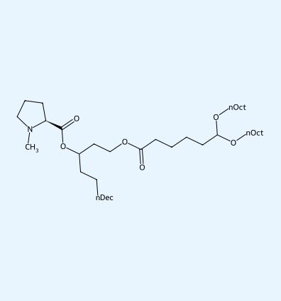 CCCCCCCCCCCCC(CCOC(=O)CCCCC(OCCCCCCCC)OCCCCCCCC)OC(=O)[C@@H]1CCCN1C